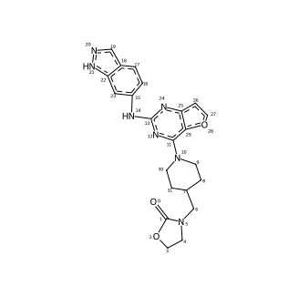 O=C1OCCN1CC1CCN(c2nc(Nc3ccc4cn[nH]c4c3)nc3ccoc23)CC1